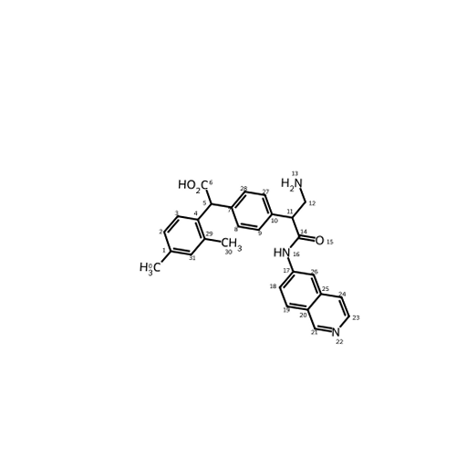 Cc1ccc(C(C(=O)O)c2ccc(C(CN)C(=O)Nc3ccc4cnccc4c3)cc2)c(C)c1